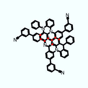 N#Cc1cccc(-c2ccc(-c3nc(-c4ccc(-c5cccc(C#N)c5)cc4N4c5ccccc5C(c5ccccc5)c5ccccc54)nc(-c4ccc(-c5cccc(C#N)c5)cc4N4c5ccccc5N(c5ccccc5)c5ccccc54)n3)cc2)c1